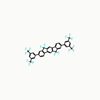 FC(F)(F)c1cc(-c2ccc3c(c2)C(F)(F)c2cc4c(cc2-3)C(F)(F)c2cc(-c3cc(C(F)(F)F)cc(C(F)(F)F)c3)ccc2-4)cc(C(F)(F)F)c1